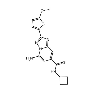 COc1ccc(-c2nc3cc(C(=O)NC4CCC4)cc(N)n3n2)s1